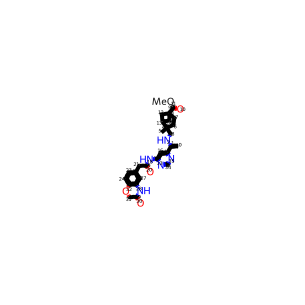 C=C(NCC1(C)CCC2(C(=O)OC)CC1C2)c1cc(NC(=O)Cc2ccc3c(c2)NC(=O)CO3)ncn1